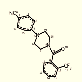 N#Cc1ccc(N2CCN(C(=O)c3ccccc3C(F)(F)F)CC2)cc1